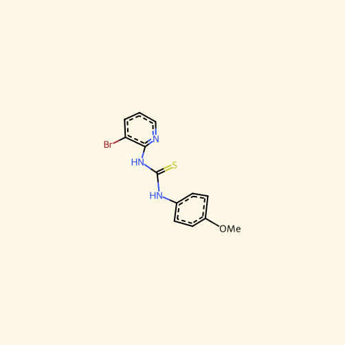 COc1ccc(NC(=S)Nc2ncccc2Br)cc1